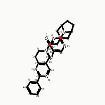 O=C(CN1CC2CCC(C1)N2c1ncc(F)cn1)N1CCc2nc(-c3ccccc3)ncc2C1